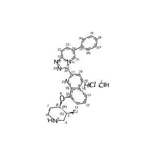 Cl.Cl.F[C@H]1CNCC[C@H]1Oc1cccc2ccc(-c3nnc4ccc(-c5ccccc5)cn34)nc12